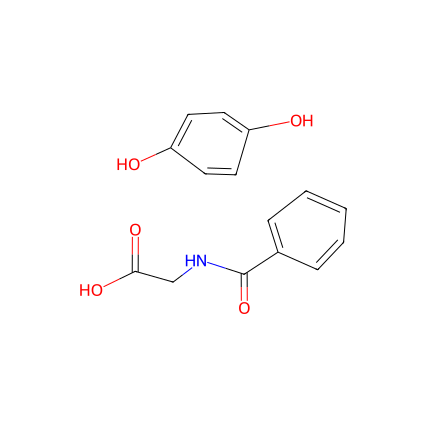 O=C(O)CNC(=O)c1ccccc1.Oc1ccc(O)cc1